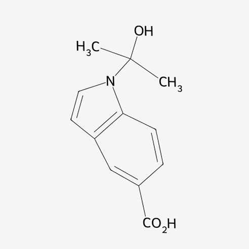 CC(C)(O)n1ccc2cc(C(=O)O)ccc21